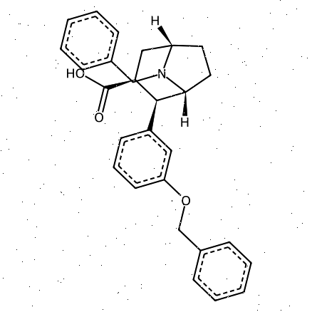 O=C(O)[C@H]1C[C@@H]2CC[C@H]([C@H]1c1cccc(OCc3ccccc3)c1)N2Cc1ccccc1